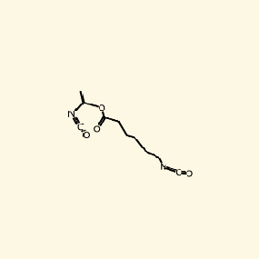 CC(N=C=O)OC(=O)CCCCCN=C=O